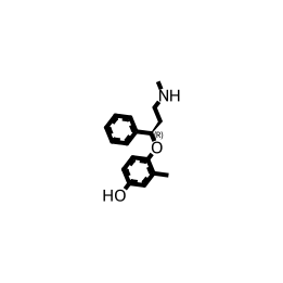 CNCC[C@@H](Oc1ccc(O)cc1C)c1ccccc1